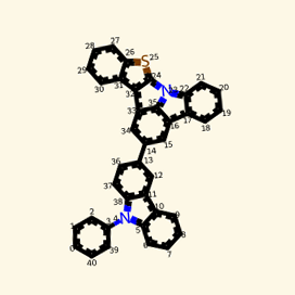 c1ccc(-n2c3ccccc3c3cc(-c4cc5c6ccccc6n6c7sc8ccccc8c7c(c4)c56)ccc32)cc1